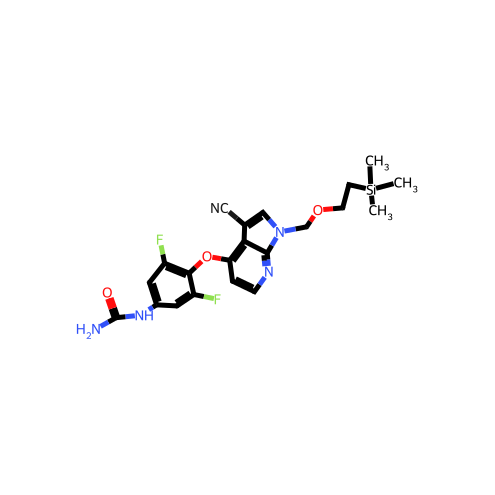 C[Si](C)(C)CCOCn1cc(C#N)c2c(Oc3c(F)cc(NC(N)=O)cc3F)ccnc21